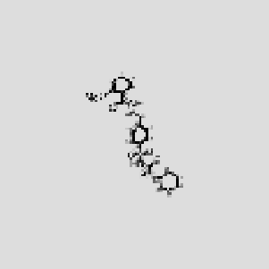 COc1ccccc1C(=O)NCCc1ccc(S(=O)(=O)NC(=O)NC2CCCCC2)cc1